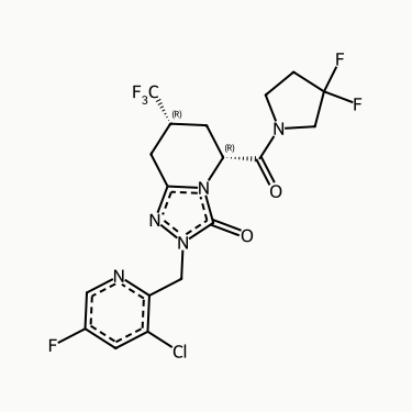 O=C([C@H]1C[C@@H](C(F)(F)F)Cc2nn(Cc3ncc(F)cc3Cl)c(=O)n21)N1CCC(F)(F)C1